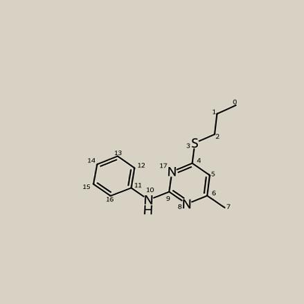 CCCSc1cc(C)nc(Nc2ccccc2)n1